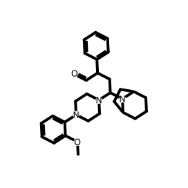 COc1ccccc1N1CCN(C(CC(C=O)c2ccccc2)N2C3CCCC2CC3)CC1